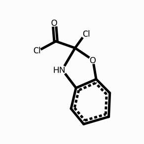 O=C(Cl)C1(Cl)Nc2ccccc2O1